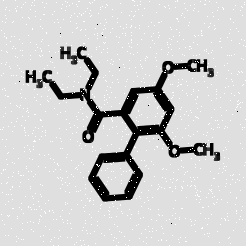 CCN(CC)C(=O)c1cc(OC)cc(OC)c1-c1ccccc1